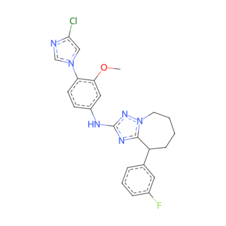 COc1cc(Nc2nc3n(n2)CCCCC3c2cccc(F)c2)ccc1-n1cnc(Cl)c1